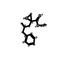 CCCOC(=O)C1(CC(C)Cc2ccccc2)CO1